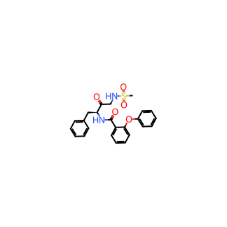 CS(=O)(=O)NCC(=O)[C@H](Cc1ccccc1)NC(=O)c1ccccc1Oc1ccccc1